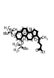 CCC(=O)CC[C@H](C)C1=CC[C@H]2C3=CC=C4C[C@@H](O[Si](C)(C)C(C)(C)C)C[C@H](O[Si](C)(C)C(C)(C)C)[C@]4(C)[C@H]3CC[C@]12C